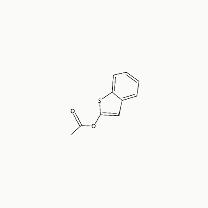 CC(=O)Oc1cc2ccccc2s1